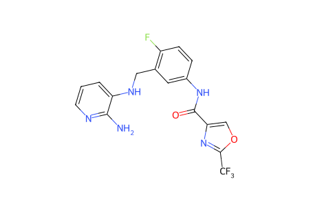 Nc1ncccc1NCc1cc(NC(=O)c2coc(C(F)(F)F)n2)ccc1F